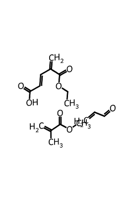 C=C(C)C(=O)OC.C=C(C=CC(=O)O)C(=O)OCC.C=CC=O